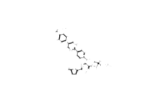 CCCCCCCOc1ccc(-c2cnc(-c3ccc(C[C@H](NC(=O)c4ccc(C(C)(C)C)s4)C(=O)N4CC(OC)(C(=O)O)C4)cc3)nc2)cc1